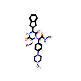 CC(C)C[C@@H]1C(=O)NC(C2Cc3ccccc3C2)C(=O)N1[C@@H](C(=O)NC(C)(C)C)c1ccc(N2CCN(C)CC2)cc1